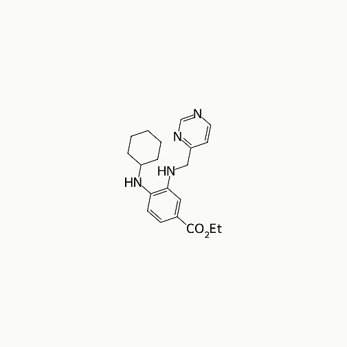 CCOC(=O)c1ccc(NC2CCCCC2)c(NCc2ccncn2)c1